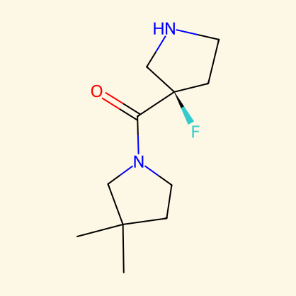 CC1(C)CCN(C(=O)[C@@]2(F)CCNC2)C1